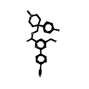 CC(OCC1(c2ccc(F)cc2)CCN(C)CC1)c1cc(CF)cc(-c2ccc(C#N)cc2)n1